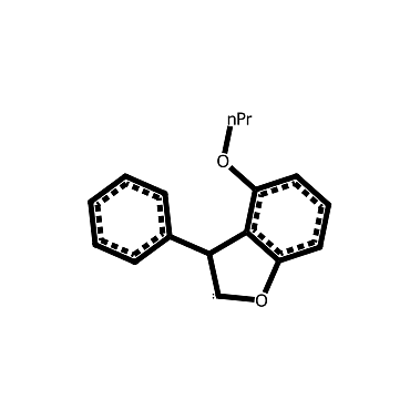 CCCOc1cccc2c1C(c1ccccc1)[C]O2